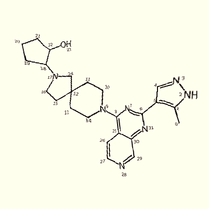 Cc1[nH]ncc1-c1nc(N2CCC3(CC2)CCN(C2CCCC2O)C3)c2ccncc2n1